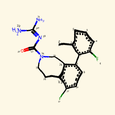 Cc1cccc(F)c1-c1ccc(F)c2c1CN(C(=O)N=C(N)N)CC2